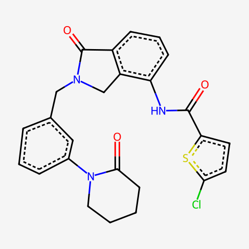 O=C(Nc1cccc2c1CN(Cc1cccc(N3CCCCC3=O)c1)C2=O)c1ccc(Cl)s1